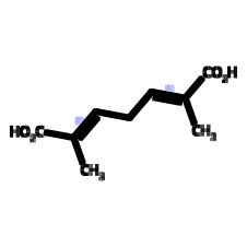 C/C(=C\C/C=C(\C)C(=O)O)C(=O)O